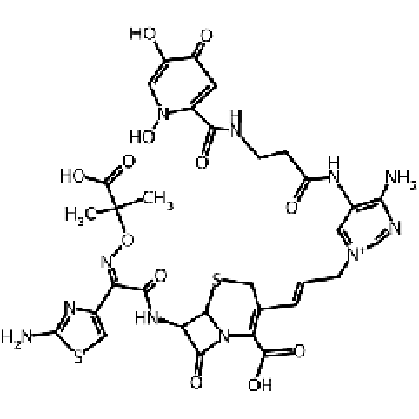 CC(C)(O/N=C(\C(=O)N[C@@H]1C(=O)N2C(C(=O)O)=C(/C=C/C[n+]3cnc(N)c(NC(=O)CCNC(=O)c4cc(=O)c(O)cn4O)c3)CSC12)c1csc(N)n1)C(=O)O